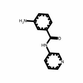 Nc1cccc(C(=O)Nc2cccnc2)c1